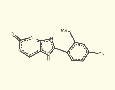 COc1cc(C#N)ccc1-c1nc2[nH]c(=O)ncc2[nH]1